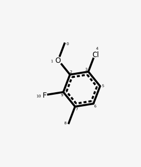 COc1c(Cl)ccc(C)c1F